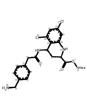 CCCCCCOC(=O)C1CC(NC(=O)Cc2ccc(CN)cc2)c2c(Cl)cc(Cl)cc2N1